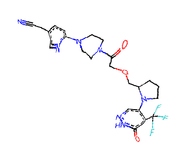 N#Cc1ccc(N2CCN(C(=O)COCC3CCCN3c3cn[nH]c(=O)c3C(F)(F)F)CC2)nc1